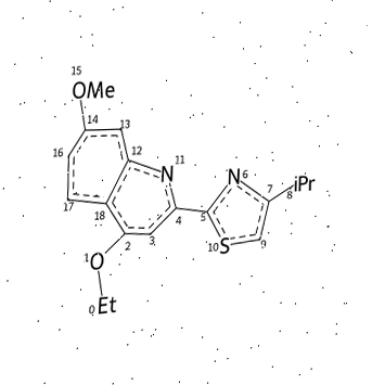 CCOc1cc(-c2nc(C(C)C)cs2)nc2cc(OC)ccc12